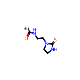 CCC(C)C(=O)NCCN1CCNC1=S